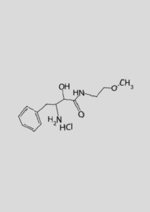 COCCNC(=O)C(O)C(N)Cc1ccccc1.Cl